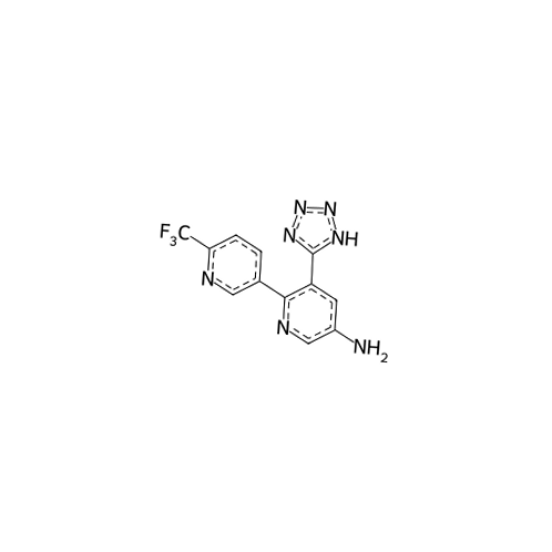 Nc1cnc(-c2ccc(C(F)(F)F)nc2)c(-c2nnn[nH]2)c1